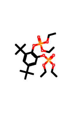 CCOP(=O)(OCC)Oc1cc(C(C)(C)C)cc(C(C)(C)C)c1OP(=O)(OCC)OCC